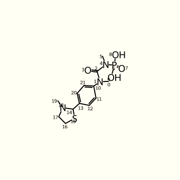 CN(C(=O)N(C)P(=O)(O)O)c1ccc(C2SCCN2C)cc1